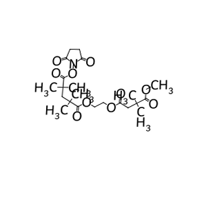 COC(=O)C(C)(C)CC(=O)OCCOC(=O)C(C)(C)CC(C)(C)C(=O)ON1C(=O)CCC1=O